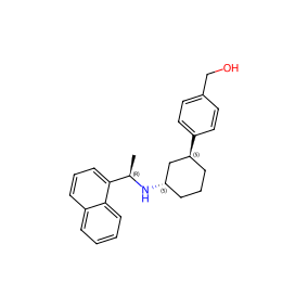 C[C@@H](N[C@H]1CCC[C@H](c2ccc(CO)cc2)C1)c1cccc2ccccc12